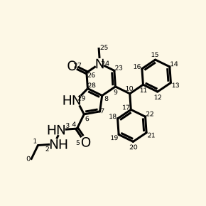 CCNNC(=O)c1cc2c(C(c3ccccc3)c3ccccc3)cn(C)c(=O)c2[nH]1